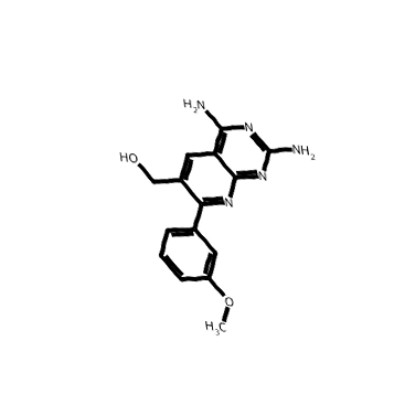 COc1cccc(-c2nc3nc(N)nc(N)c3cc2CO)c1